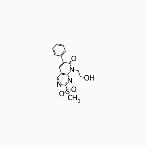 CS(=O)(=O)c1ncc2cc(-c3ccccc3)c(=O)n(CCO)c2n1